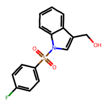 O=S(=O)(c1ccc(F)cc1)n1cc(CO)c2ccccc21